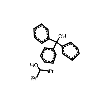 CC(C)C(O)C(C)C.OC(c1ccccc1)(c1ccccc1)c1ccccc1